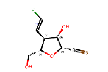 OC[C@H]1O[C@@H](B=S)[C@H](O)[C@@H]1/C=C/F